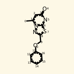 Cc1cc(=O)nc2sc(COc3ccccc3)nn12